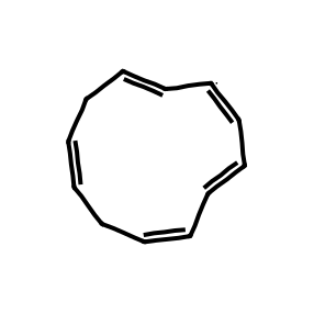 [C]1=C\C=C\C=C/C/C=C\C/C=C/1